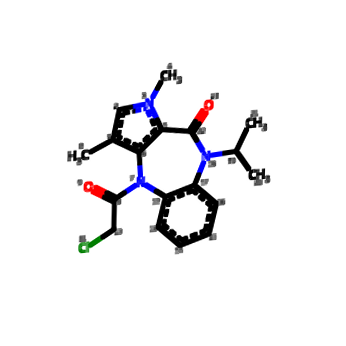 Cc1cn(C)c2c1N(C(=O)CCl)c1ccccc1N(C(C)C)C2=O